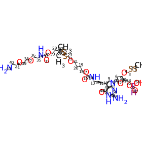 CSSCOC1C[C@H](n2cc(C#CCNC(=O)OCCCCOCSSC(C)(C)CCOC(=O)NCCOCCOCCN)c3c(=O)[nH]c(N)nc32)O[C@@H]1CO[PH](=O)O